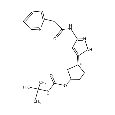 CC(C)(C)NC(=O)OC1CC[C@H](c2cc(NC(=O)Cc3ccccn3)n[nH]2)C1